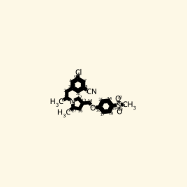 CC(Cc1cc(Cl)cc(C#N)c1)N1CC(COc2ccc(S(C)(=O)=O)cc2)CC1C